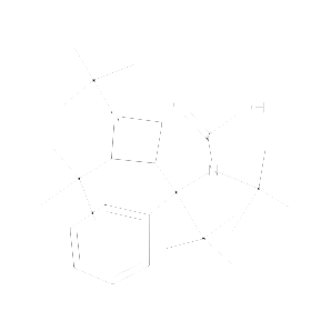 CC(C)(C)C1C(C(c2ccccc2)(N(C(=O)O)C(C)(C)C)C(C)(C)C)CN1C(C)(C)C